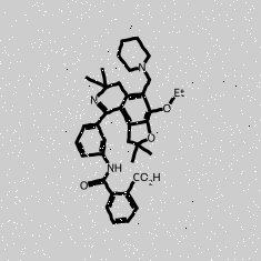 CCOc1c(CN2CCCCC2)c2c(c3c1OC(C)(C)C3)C(c1cccc(NC(=O)c3ccccc3C(=O)O)c1)=NC(C)(C)C2